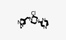 Cn1cc(CN2CCN(c3cnccn3)CC2Cl)cn1